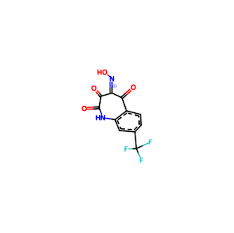 O=C1Nc2cc(C(F)(F)F)ccc2C(=O)/C(=N/O)C1=O